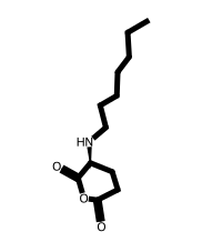 CCCCCCCN[C@H]1CCC(=O)OC1=O